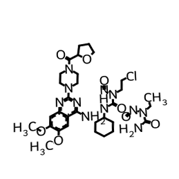 CCN(N=O)C(N)=O.COc1cc2nc(N3CCN(C(=O)C4CCCO4)CC3)nc(N)c2cc1OC.O=NN(CCCl)C(=O)NC1CCCCC1